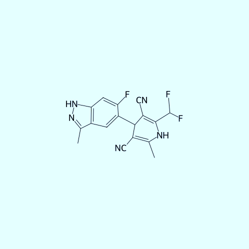 CC1=C(C#N)C(c2cc3c(C)n[nH]c3cc2F)C(C#N)=C(C(F)F)N1